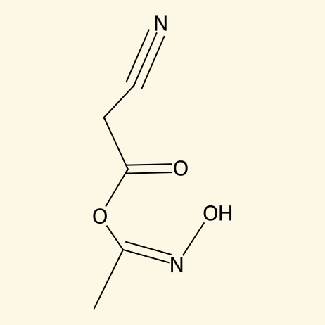 CC(=NO)OC(=O)CC#N